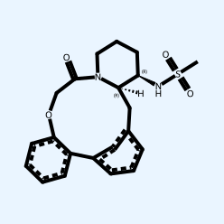 CS(=O)(=O)N[C@@H]1CCCN2C(=O)COc3ccccc3-c3cccc(c3)C[C@H]12